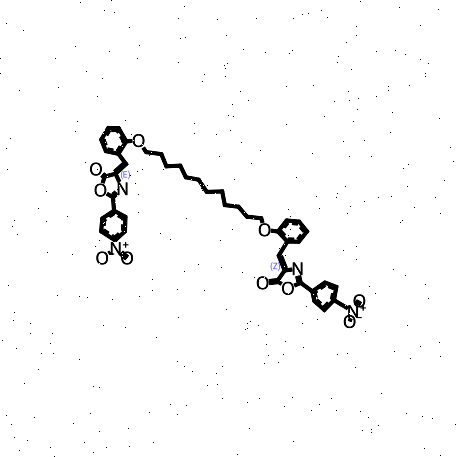 O=C1OC(c2ccc([N+](=O)[O-])cc2)=N/C1=C\c1ccccc1OCCCCCCCCCCCCOc1ccccc1/C=C1/N=C(c2ccc([N+](=O)[O-])cc2)OC1=O